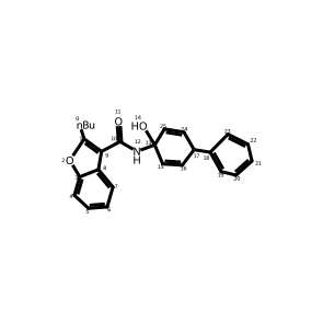 CCCCc1oc2ccccc2c1C(=O)NC1(O)C=CC(c2ccccc2)C=C1